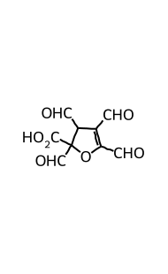 O=CC1=C(C=O)C(C=O)C(C=O)(C(=O)O)O1